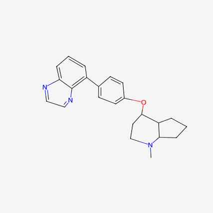 CN1CCC(Oc2ccc(-c3cccc4nccnc34)cc2)C2CCCC21